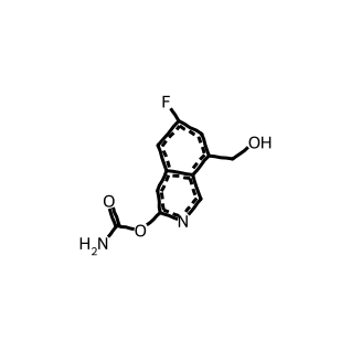 NC(=O)Oc1cc2cc(F)cc(CO)c2cn1